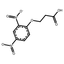 O=C(O)CCOc1ccc([N+](=O)[O-])cc1[N+](=O)[O-]